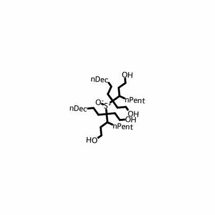 CCCCCCCCCCCCC(CCO)(C(CCO)CCCCC)[S+]([O-])C(CCO)(CCCCCCCCCCCC)C(CCO)CCCCC